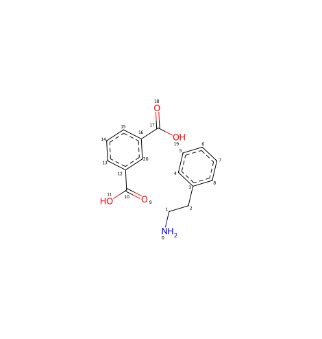 NCCc1ccccc1.O=C(O)c1cccc(C(=O)O)c1